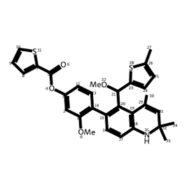 COc1cc(OC(=O)c2cccs2)ccc1-c1ccc2c(c1C(OC)c1ccc(C)s1)C(C)=CC(C)(C)N2